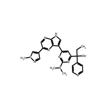 CCC(O)(c1ccncc1)c1cc(-c2c[nH]c3ncc(-c4cnn(C)c4)nc23)nc(N(C)C)n1